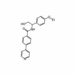 CCOc1ccc(C(CO)NC(=O)c2ccc(-c3ccncc3)cc2)cc1